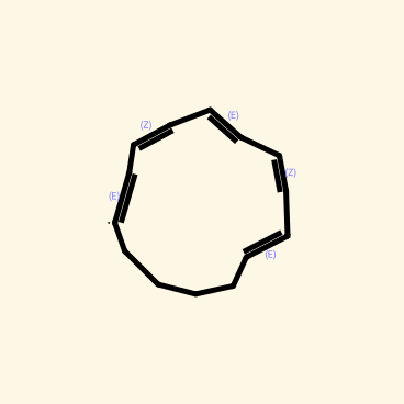 [C]1=C/C=C\C=C\C=C/C=C/CCCC/1